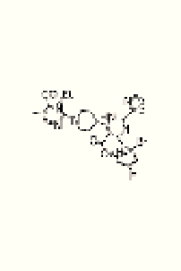 CCOC(=O)c1nc(N2CCC(C3=C(C(=O)OC)C(c4ccc(F)cc4Br)N=C(c4nccs4)N3)CC2)ncc1C